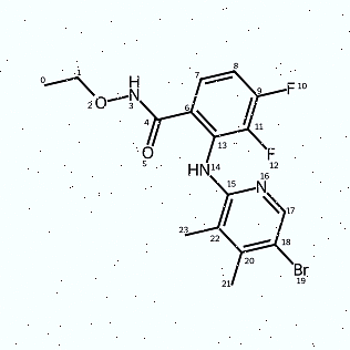 CCONC(=O)c1ccc(F)c(F)c1Nc1ncc(Br)c(C)c1C